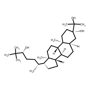 C[C@H](CC[C@@H](O)C(C)(C)C)[C@H]1CC[C@H]2[C@@H]3CC[C@@H]4C[C@](O)(C(C)(C)O)CC[C@]4(C)[C@H]3CC[C@]12C